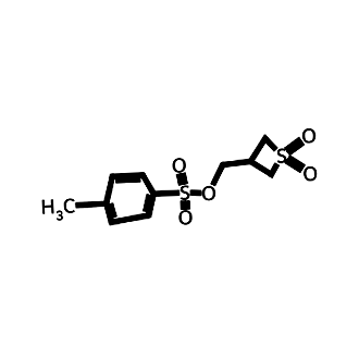 Cc1ccc(S(=O)(=O)OCC2CS(=O)(=O)C2)cc1